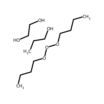 CCCCOOOCCCC.CCCO.OCCO